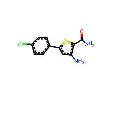 NC(=O)c1sc(-c2ccc(Cl)cc2)cc1N